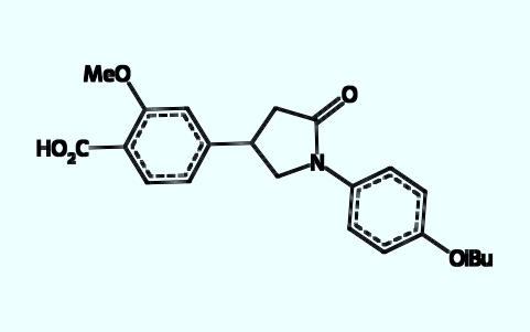 COc1cc(C2CC(=O)N(c3ccc(OCC(C)C)cc3)C2)ccc1C(=O)O